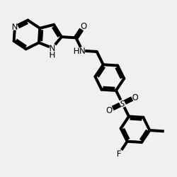 Cc1cc(F)cc(S(=O)(=O)c2ccc(CNC(=O)c3cc4cnccc4[nH]3)cc2)c1